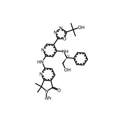 CCCN1C(=O)c2ccc(Nc3cc(N[C@H](CO)c4ccccc4)c(-c4nnc(C(C)(C)O)o4)cn3)nc2C1(C)C